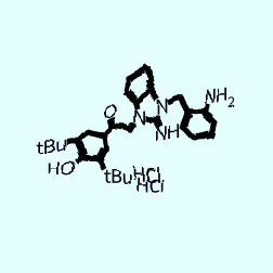 CC(C)(C)c1cc(C(=O)Cn2c(=N)n(Cc3ccccc3N)c3ccccc32)cc(C(C)(C)C)c1O.Cl.Cl